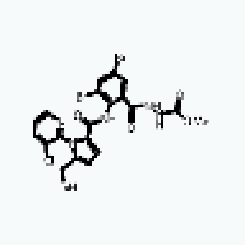 COC(=O)NNC(=O)c1cc(Br)cc(Br)c1NC(=O)c1ccc(CS)n1-c1ncccc1Cl